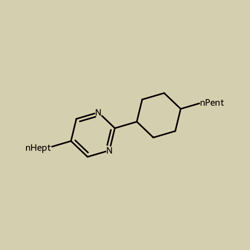 CCCCCCCc1cnc(C2CCC(CCCCC)CC2)nc1